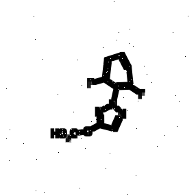 O=C(O)Oc1cnn(-c2c(F)cccc2F)n1